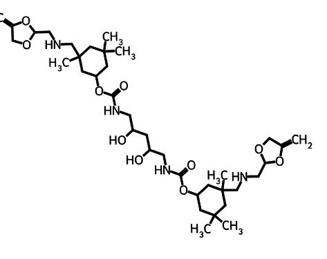 C=C1COC(CNCC2(C)CC(OC(=O)NCC(O)CC(O)CNC(=O)OC3CC(C)(C)CC(C)(CNCC4OCC(=C)O4)C3)CC(C)(C)C2)O1